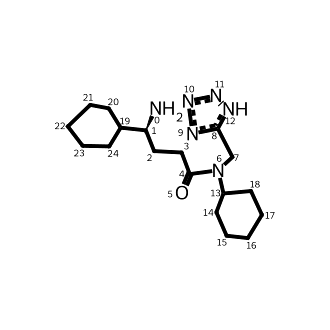 N[C@@H](CCC(=O)N(Cc1nnn[nH]1)C1CCCCC1)C1CCCCC1